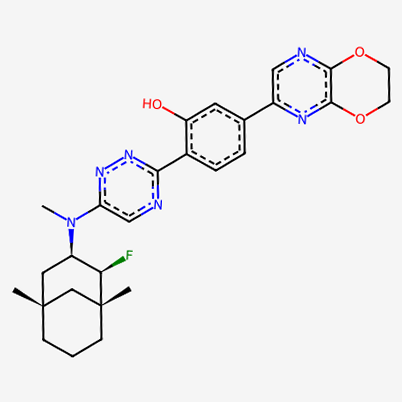 CN(c1cnc(-c2ccc(-c3cnc4c(n3)OCCO4)cc2O)nn1)[C@@H]1C[C@@]2(C)CCC[C@](C)(C2)[C@@H]1F